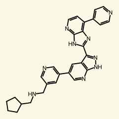 c1cc(-c2ccnc3[nH]c(-c4n[nH]c5ncc(-c6cncc(CNCC7CCCC7)c6)cc45)nc23)ccn1